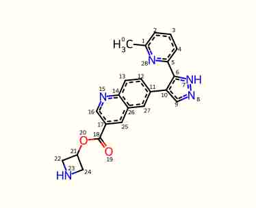 Cc1cccc(-c2[nH]ncc2-c2ccc3ncc(C(=O)OC4CNC4)cc3c2)n1